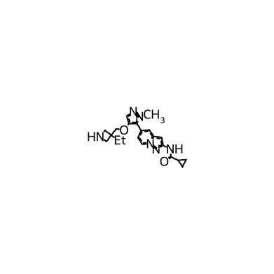 CCC1(COc2cnn(C)c2-c2ccn3nc(NC(=O)C4CC4)cc3c2)CNC1